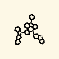 C1=CC2c3ccccc3OC2C=C1N(c1ccc(-n2c3ccccc3c3cc4ccccc4cc32)cc1)c1cccc2c1c1ccccc1n2-c1ccccc1